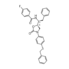 O=C(N[C@@H](Cc1ccccc1)[C@H]1CN(c2ccc(SCc3ccccc3)cc2)C(=O)O1)c1ccc(F)cc1